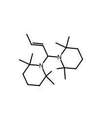 CC=CC(N1C(C)(C)CCCC1(C)C)N1C(C)(C)CCCC1(C)C